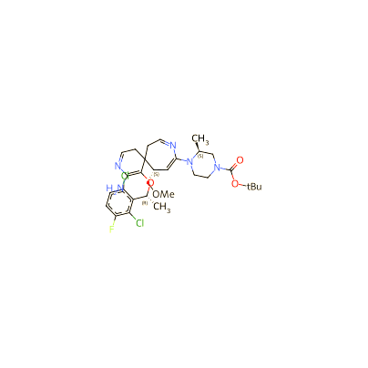 COC[C@H]1C=C(N2CCN(C(=O)OC(C)(C)C)C[C@@H]2C)N=CCC12CC=NC(N)=C2O[C@H](C)c1c(Cl)ccc(F)c1Cl